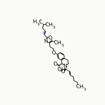 CCCCC=CC(=O)N1CCc2ccc(OCCc3nc(/C=C/CC(C)C)oc3C)cc2C1C(=O)O